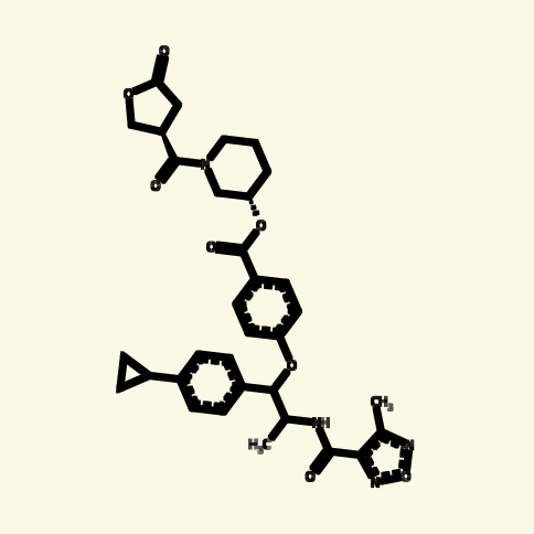 Cc1nonc1C(=O)NC(C)C(Oc1ccc(C(=O)O[C@H]2CCCN(C(=O)[C@H]3COC(=O)C3)C2)cc1)c1ccc(C2CC2)cc1